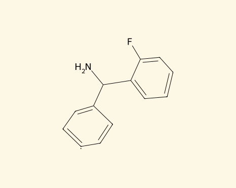 NC(c1cc[c]cc1)c1ccccc1F